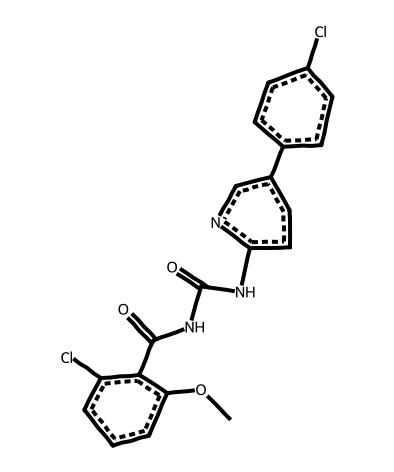 COc1cccc(Cl)c1C(=O)NC(=O)Nc1ccc(-c2ccc(Cl)cc2)cn1